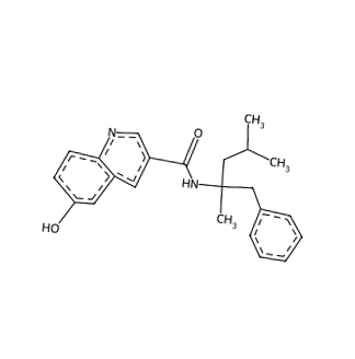 CC(C)CC(C)(Cc1ccccc1)NC(=O)c1cnc2ccc(O)cc2c1